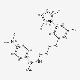 CC(=O)N(NCCCCc1cc(C)cc(-n2c(C)ccc2C)n1)c1ccc(N(C)C)cc1